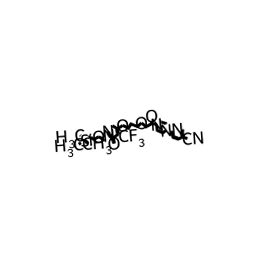 C[Si](C)(C)CCOCn1ncc(OCCCOCC(=O)N2CCN(c3ccc(C#N)cn3)CC2)c(C(F)(F)F)c1=O